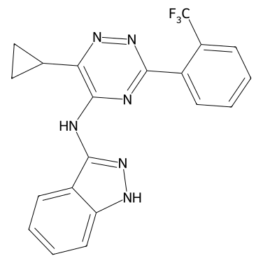 FC(F)(F)c1ccccc1-c1nnc(C2CC2)c(Nc2n[nH]c3ccccc23)n1